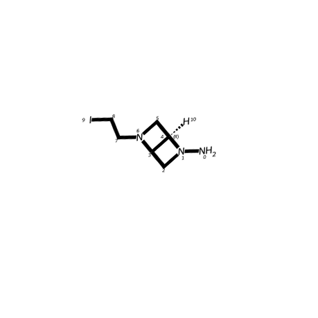 NN1CC2[C@H]1CN2CCI